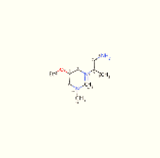 CCOC(CNC(C)CN)CN(C)C